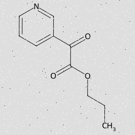 CCCOC(=O)C(=O)c1cccnc1